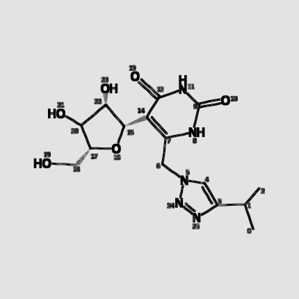 CC(C)c1cn(Cc2[nH]c(=O)[nH]c(=O)c2[C@@H]2O[C@H](CO)C(O)[C@@H]2O)nn1